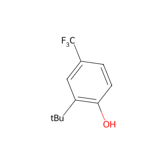 CC(C)(C)c1cc(C(F)(F)F)ccc1O